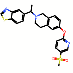 CC(c1ccc2scnc2c1)N1CCc2cc(Oc3ccc(S(C)(=O)=O)cn3)ccc2C1